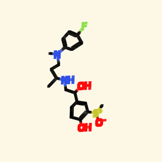 CC(CCN(C)c1ccc(F)cc1)NCC(O)c1ccc(O)c([S+](C)[O-])c1